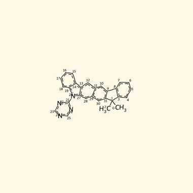 CC1(C)c2ccccc2-c2cc3cc4c5ccccc5n(-c5ncncn5)c4cc3cc21